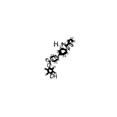 Cc1c(C)c(OCC(=O)N2CCN(c3ccc(/N=C(\N)c4cccs4)cc3)CC2)c(C)c(C)c1O